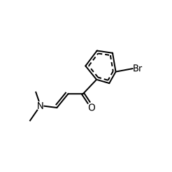 CN(C)C=CC(=O)c1cccc(Br)c1